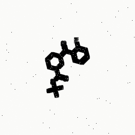 CC(C)(C)OC(=O)N1CCCC(C(=O)c2ccccc2F)C1